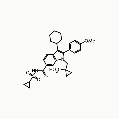 COc1ccc(-c2c(C3CCCCC3)c3ccc(C(=O)NS(=O)(=O)C4CC4)cc3n2CC2(C(=O)O)CC2)cc1